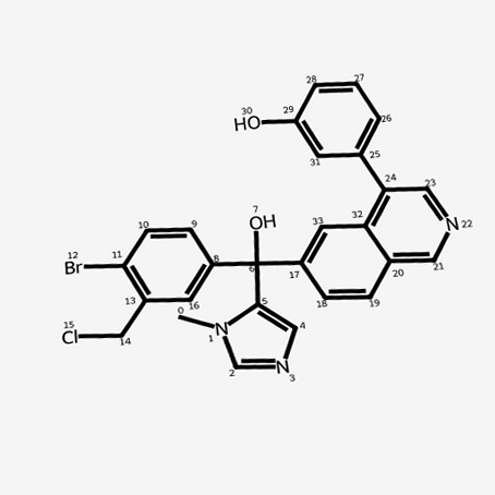 Cn1cncc1C(O)(c1ccc(Br)c(CCl)c1)c1ccc2cncc(-c3cccc(O)c3)c2c1